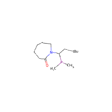 CP(C)C(CC(C)(C)C)N1CCCCCC1=O